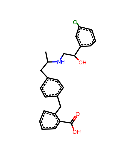 CC(Cc1ccc(Cc2ccccc2C(=O)O)cc1)NCC(O)c1cccc(Cl)c1